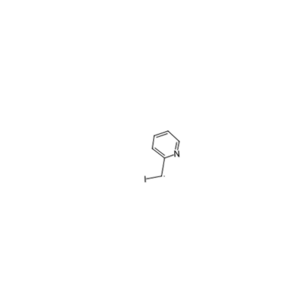 I[CH]c1ccccn1